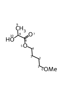 COCCCCOC(=O)C(C)O